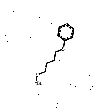 CC(C)(C)SCCCCSc1ccccc1